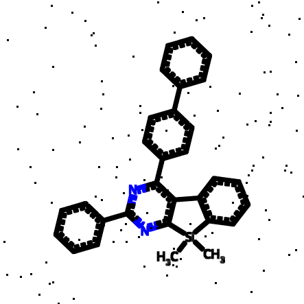 C[Si]1(C)c2ccccc2-c2c(-c3ccc(-c4ccccc4)cc3)nc(-c3ccccc3)nc21